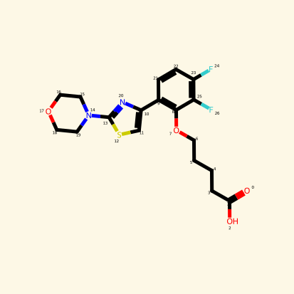 O=C(O)CCCCOc1c(-c2csc(N3CCOCC3)n2)ccc(F)c1F